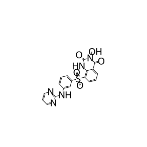 O=c1[nH]c2c(S(=O)(=O)c3cccc(Nc4ncccn4)c3)cccc2c(=O)n1O